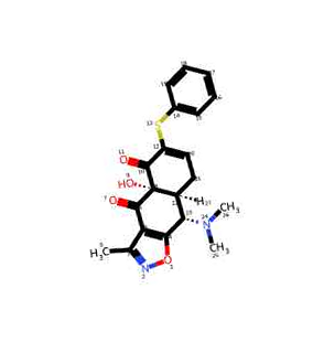 Cc1noc2c1C(=O)[C@@]1(O)C(=O)C(Sc3ccccc3)=CC[C@H]1[C@@H]2N(C)C